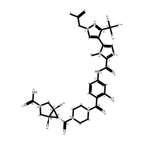 C=C(C)Cn1cc(-c2cnc(C(=O)Nc3ccc(C(=O)N4CCN(C(=O)[C@@H]5[C@@H]6CN(C(=O)O)C[C@@H]65)CC4)c(Cl)c3)n2C)c(C(F)(F)F)n1